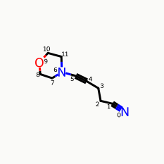 N#CCCC#CN1CCOCC1